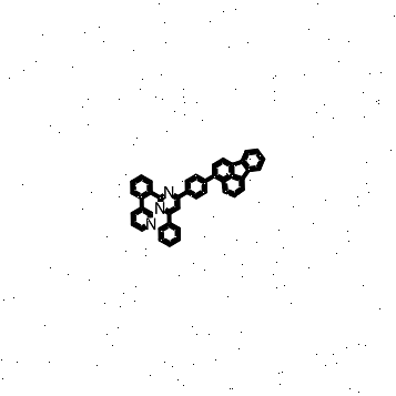 c1ccc(-c2cc(-c3ccc(-c4ccc5c6c(cccc46)-c4ccccc4-5)cc3)nc(-c3ccccc3-c3cccnc3)n2)cc1